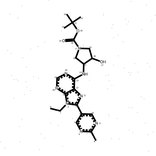 CCn1c(-c2cnc(C)nc2)nc2c(NC3CN(C(=O)OC(C)(C)C)CC3O)ncnc21